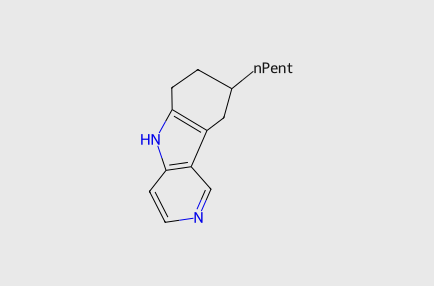 CCCCCC1CCc2[nH]c3ccncc3c2C1